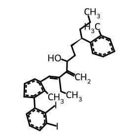 C=C(/C(=C/c1cccc(-c2cccc(I)c2I)c1C)CC)C(O)CC[C@@H](CCC)c1ccccc1C